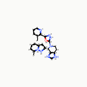 Cc1cccnc1-c1nnc(N2CCc3[nH]cnc3[C@@H]2c2cc3cccc(C)n3n2)o1